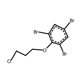 ClCCCOc1c(Br)cc(Br)cc1Br